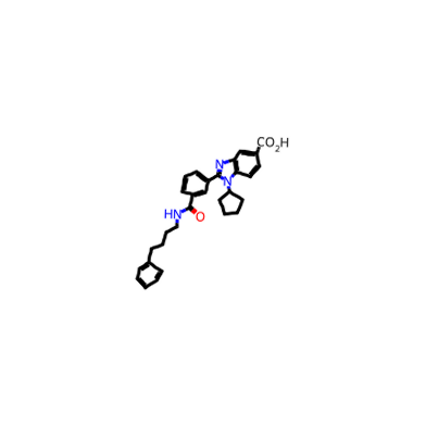 O=C(O)c1ccc2c(c1)nc(-c1cccc(C(=O)NCCCCc3ccccc3)c1)n2C1CCCC1